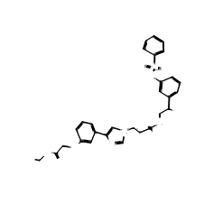 CCOC(=O)COc1cccc(-c2cn(CCC(C)(C)NCC(O)c3cccc(NS(=O)(=O)c4ccccc4)c3)cn2)c1